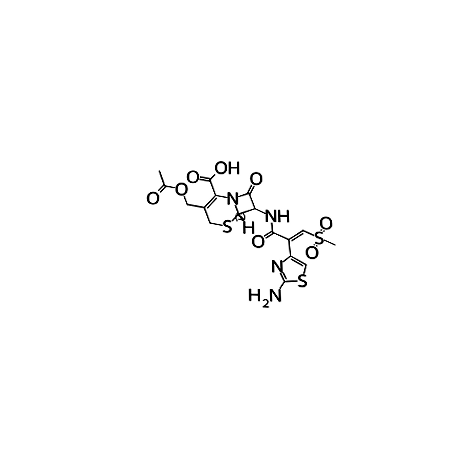 CC(=O)OCC1=C(C(=O)O)N2C(=O)C(NC(=O)C(=CS(C)(=O)=O)c3csc(N)n3)[C@@H]2SC1